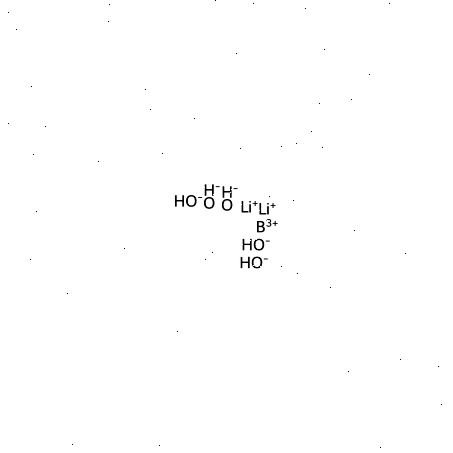 [B+3].[Li+].[Li+].[OH-].[OH-].[OH-].[OH-].[OH-]